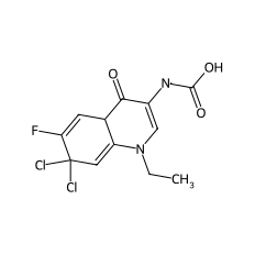 CCN1C=C([N]C(=O)O)C(=O)C2C=C(F)C(Cl)(Cl)C=C21